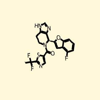 CC(F)(F)c1ncc(C(=O)N2CCc3[nH]cnc3[C@H]2c2cc3c(F)cccc3o2)s1